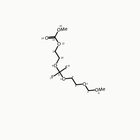 COCOCCOC(F)(F)OCCOC(=O)OC